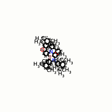 Cc1cc2c3c(c1)N(c1ccccc1-c1ccccc1)c1c(ccc4oc5cc6c(cc5c14)C(C)(C)CCC6(C)C)B3c1cc3c(cc1N2c1ccc2c(c1)C(C)(C)CCC2(C)C)C(C)(C)CCC3(C)C